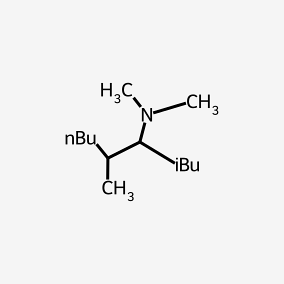 CCCCC(C)C(C(C)CC)N(C)C